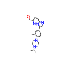 Cc1cc(-c2cnc3ccc(C=O)nn23)ccc1N1CCN(C(C)C)CC1